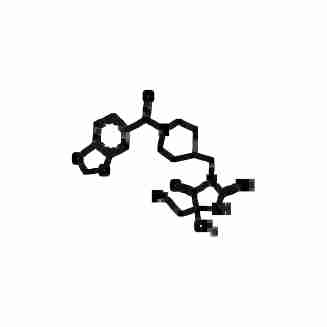 CC(C)CC1(C)NC(=N)N(CC2CCN(C(=O)c3ccc4c(c3)OCO4)CC2)C1=O